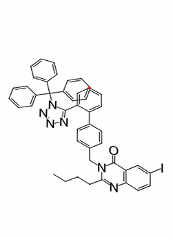 CCCCc1nc2ccc(I)cc2c(=O)n1Cc1ccc(-c2ccccc2-c2nnnn2C(c2ccccc2)(c2ccccc2)c2ccccc2)cc1